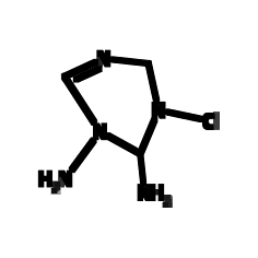 NC1N(N)C=NCN1Cl